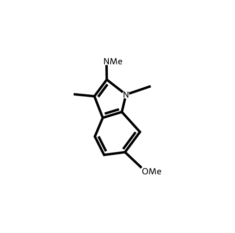 CNc1c(C)c2ccc(OC)cc2n1C